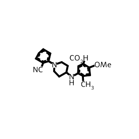 COc1cc(C)c(NC2CCN(c3ccccc3C#N)CC2)cc1C(=O)O